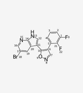 Fc1cccc(-c2cnoc2-c2c[nH]c3ncc(Br)cc23)c1F